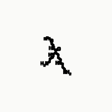 CCCOCCNC(=O)C(CCCNCCCN)NCCCN